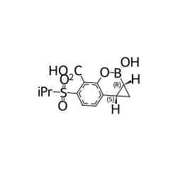 CC(C)S(=O)(=O)c1ccc2c(c1C(=O)O)OB(O)[C@@H]1C[C@H]21